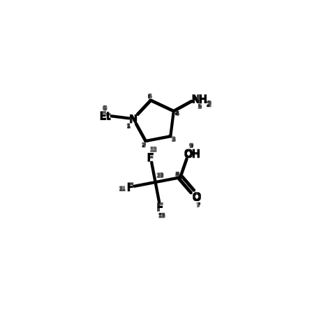 CCN1CCC(N)C1.O=C(O)C(F)(F)F